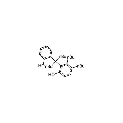 CCCCc1ccc(O)c(C(CCCC)(CCCC)c2ccccc2O)c1CCCC